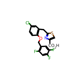 O=C(O)c1csc(Cc2cc(Cl)ccc2OCc2cc(F)c(F)cc2F)n1